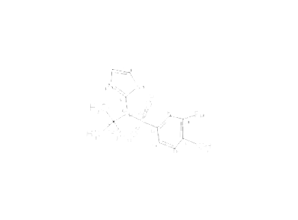 CC(C)(C)N(c1nccs1)S(=O)(=O)c1ccc(O)c(F)c1